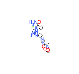 CC(C)(C)OC(=O)N1CCCC1C(=O)N1CCN(c2cccc(Nc3ncc(F)c(-n4cc(C(N)=O)c5ccccc54)n3)c2)CC1